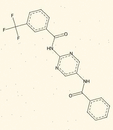 O=C(Nc1cnc(NC(=O)c2cccc(C(F)(F)F)c2)nc1)c1ccccc1